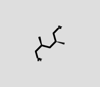 CC(C)C[C@@H](C)C[C@@H](C)CBr